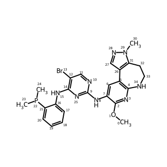 COc1nc2c(cc1Nc1ncc(Br)c(Nc3ccccc3P(C)C)n1)-c1cnn(C)c1CCN2